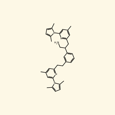 Cc1cc(CCc2cccc(C(CN)Cc3cc(C)cc(-n4c(C)ccc4C)n3)c2)nc(-n2c(C)ccc2C)c1